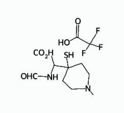 CN1CCC(S)(C(NC=O)C(=O)O)CC1.O=C(O)C(F)(F)F